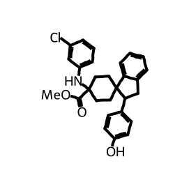 COC(=O)C1(Nc2cccc(Cl)c2)CCC2(CC1)c1ccccc1CC2c1ccc(O)cc1